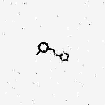 Cc1cccc(CSC2=NCCS2)c1